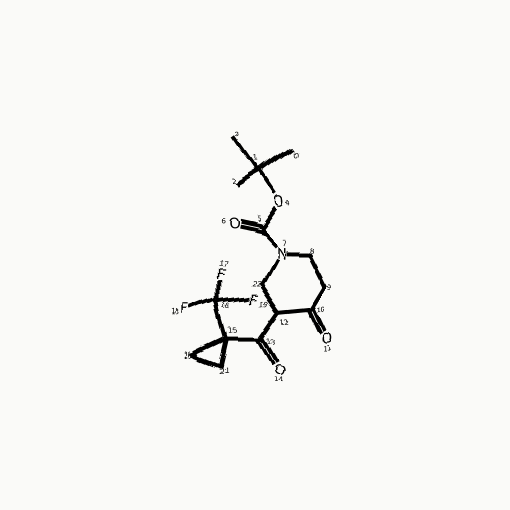 CC(C)(C)OC(=O)N1CCC(=O)C(C(=O)C2(C(F)(F)F)CC2)C1